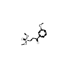 COc1cccc(C(=O)CCP(=O)(OC)OC)c1